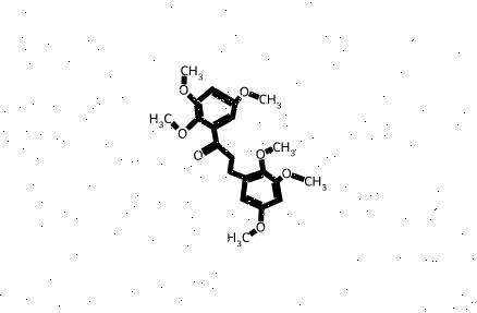 COc1cc(CCC(=O)c2cc(OC)cc(OC)c2OC)c(OC)c(OC)c1